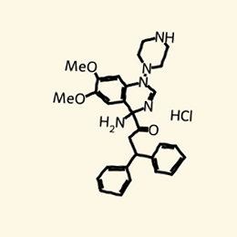 COc1cc2c(cc1OC)C(N)(C(=O)CC(c1ccccc1)c1ccccc1)N=CN2N1CCNCC1.Cl